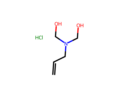 C=CCN(CO)CO.Cl